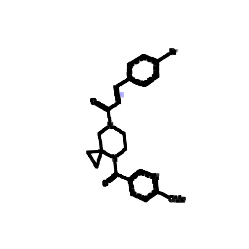 COc1ccc(C(=O)N2CCN(C(=O)/C=C/c3ccc(Br)cc3)CC23CC3)cn1